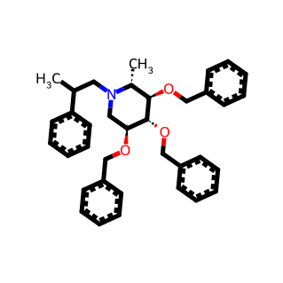 CC(CN1C[C@H](OCc2ccccc2)[C@@H](OCc2ccccc2)[C@H](OCc2ccccc2)[C@H]1C)c1ccccc1